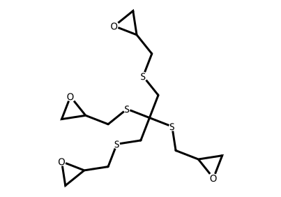 C1OC1CSCC(CSCC1CO1)(SCC1CO1)SCC1CO1